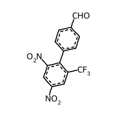 O=Cc1ccc(-c2c([N+](=O)[O-])cc([N+](=O)[O-])cc2C(F)(F)F)cc1